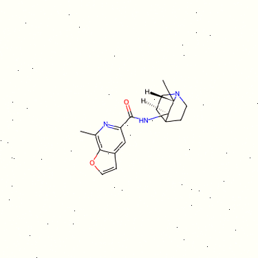 Cc1nc(C(=O)N[C@@H]2C3CCN(CC3)[C@H]2C)cc2ccoc12